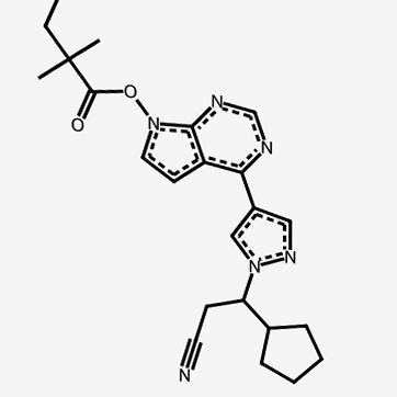 CCC(C)(C)C(=O)On1ccc2c(-c3cnn(C(CC#N)C4CCCC4)c3)ncnc21